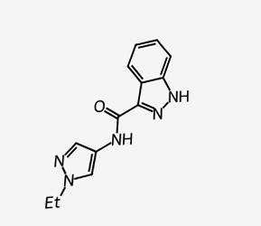 CCn1cc(NC(=O)c2n[nH]c3ccccc23)cn1